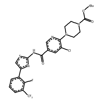 CC(C)(C)OC(=O)N1CCN(c2ncc(C(=O)Nc3nc(-c4cccc(C(F)(F)F)c4F)cs3)cc2Cl)CC1